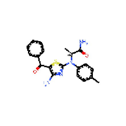 Cc1ccc(N(c2nc(N)c(C(=O)c3ccccc3)s2)[C@@H](C)C(N)=O)cc1